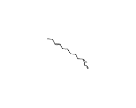 C=C=CCCCCCC=CCC